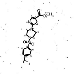 COC(=O)c1cnc(N2CCN(S(=O)(=O)c3ccc(C)cc3)CC2)s1